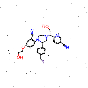 N#Cc1ccc([C@@H](CO)N2CCN(c3ccc(OCCO)cc3C#N)[C@H](c3ccc(CI)cc3)C2)nc1